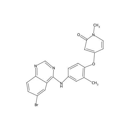 Cc1cc(Nc2ncnc3ccc(Br)cc23)ccc1Oc1ccn(C)c(=O)c1